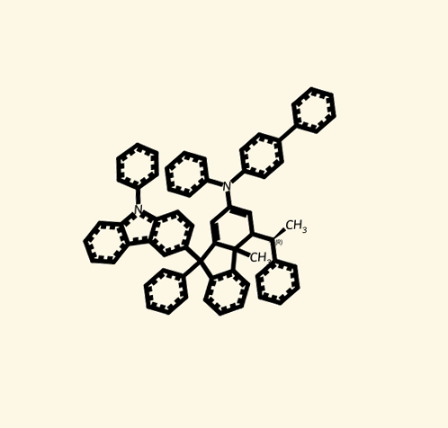 C[C@@H](c1ccccc1)C1C=C(N(c2ccccc2)c2ccc(-c3ccccc3)cc2)C=C2C(c3ccccc3)(c3ccc4c(c3)c3ccccc3n4-c3ccccc3)c3ccccc3C21C